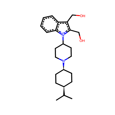 CC(C)[C@H]1CC[C@@H](N2CCC(n3c(CO)c(CO)c4ccccc43)CC2)CC1